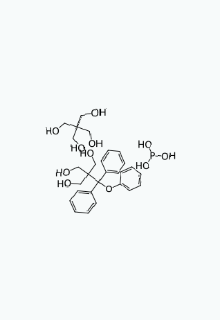 OCC(CO)(CO)C(Oc1ccccc1)(c1ccccc1)c1ccccc1.OCC(CO)(CO)CO.OP(O)O